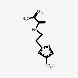 C=C(C)C(=O)NCCn1cc(C(=O)OCC)cn1